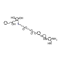 N=Cc1cc(N[C@H]2CCCN(Cc3cccc(OCC(=O)OCCCOC(=O)CCC/C=C\C[C@@H]4[C@@H](CC[C@@H](O)CCc5ccccc5)[C@H](O)C[C@@H]4O)c3)C2)ccc1N